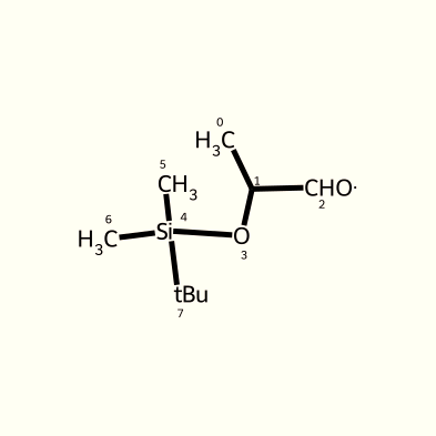 CC([C]=O)O[Si](C)(C)C(C)(C)C